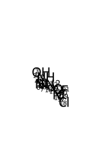 N[C@H](CO)Cn1ccc(-c2ccc(Oc3ncc(Cl)cc3F)cn2)n1